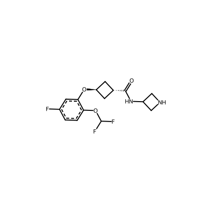 O=C(NC1CNC1)[C@H]1C[C@H](Oc2cc(F)ccc2OC(F)F)C1